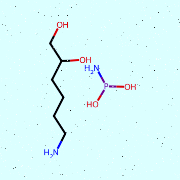 NCCCCC(O)CO.NP(O)O